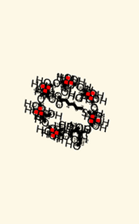 O=C(O)CCCCCSC[C@@H]1OC2O[C@@H]3[C@@H](O)[C@H](O)C(O[C@@H]4[C@@H](O)[C@H](O)C(O[C@@H]5[C@@H](O)[C@H](O)C(O[C@@H]6[C@@H](O)[C@H](O)C(O[C@@H]7[C@@H](O)[C@H](O)C(O[C@@H]8[C@@H](O)[C@H](O)C(O[C@@H]1[C@@H](O)[C@@H]2O)O[C@H]8CO)O[C@H]7CO)O[C@H]6CO)O[C@H]5CO)O[C@H]4CO)O[C@H]3CO